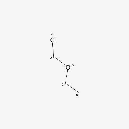 CCO[CH]Cl